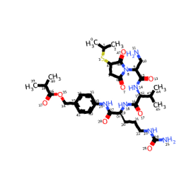 CC(C)SC1CC(=O)N(C(CN)C(=O)N[C@H](C(=O)N[C@@H](CCCNC(N)=O)C(=O)Nc2ccc(COC(=O)C(C)C)cc2)C(C)C)C1=O